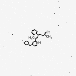 CCC=C(C)C/C=C(\C=C(/C)C1C=C(CC2CCCC2)C=CN1)c1ccccc1